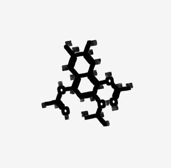 CC(=O)Oc1cc(OC(C)C)c(OC(C)=O)c2cc(C)c(C)cc12